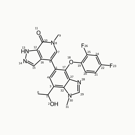 CC(O)c1cc(-c2cn(C)c(=O)c3[nH]ncc23)c(Oc2ccc(F)cc2F)c2ncn(C)c12